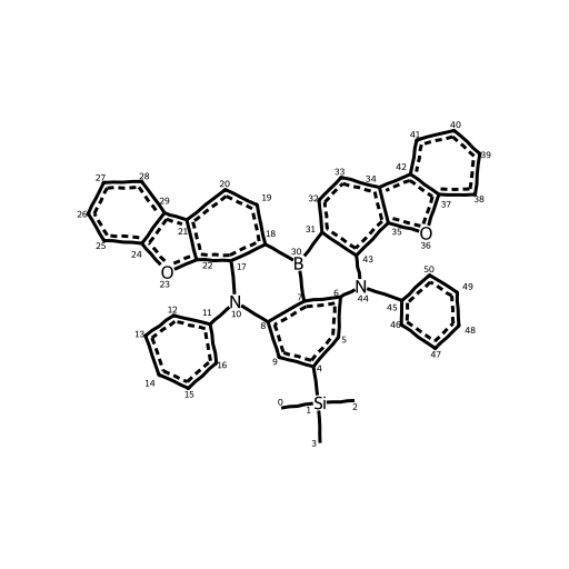 C[Si](C)(C)c1cc2c3c(c1)N(c1ccccc1)c1c(ccc4c1oc1ccccc14)B3c1ccc3c(oc4ccccc43)c1N2c1ccccc1